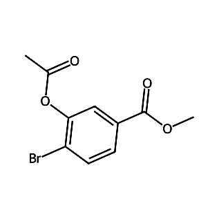 COC(=O)c1ccc(Br)c(OC(C)=O)c1